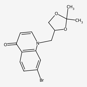 CC1(C)OCC(Cn2ccc(=O)c3ccc(Br)cc32)O1